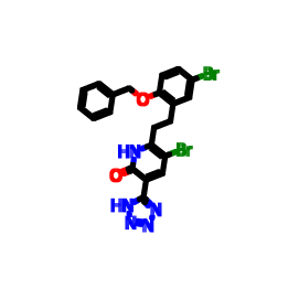 O=c1[nH]c(CCc2cc(Br)ccc2OCc2ccccc2)c(Br)cc1-c1nnn[nH]1